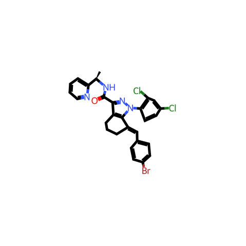 C[C@@H](NC(=O)c1nn(-c2ccc(Cl)cc2Cl)c2c1CCC/C2=C\c1ccc(Br)cc1)c1ccccn1